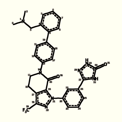 CN(C)Cc1ccccc1-c1ccc(N2CCc3c(C(F)(F)F)nn(-c4cccc(-c5n[nH]c(=O)[nH]5)c4)c3C2=O)cc1